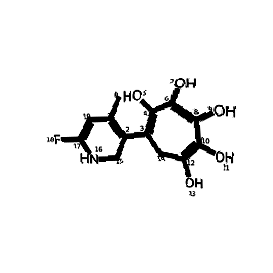 CC1=C(C2=C(O)C(O)=C(O)C(O)=C(O)C2)CNC(F)=C1